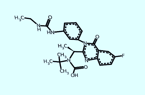 CCNC(=O)Nc1cccc(-n2c([C@H](C)N(C(=O)O)C(C)(C)C)nc3ccc(F)cc3c2=O)c1